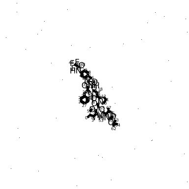 CC[C@H](C)[C@@H]([C@@H](CC(=O)N1CCC[C@H]1[C@H](OC)[C@@H](C)C(=O)N[C@@H](Cc1ccccc1)C(=O)NS(=O)(=O)Cc1ccc(NC(=O)C(F)(F)F)cc1)OC)N(C)C(=O)[C@@H](NC(=O)OC(C)(C)C)C(C)C